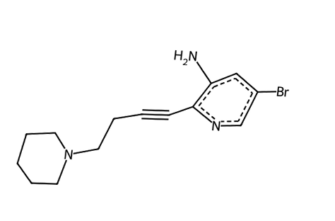 Nc1cc(Br)cnc1C#CCCN1CCCCC1